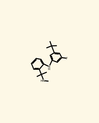 CNC(C)(C)c1ccccc1Nc1cc(F)cc(C(C)(C)C)c1